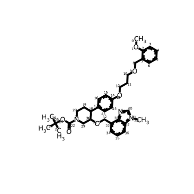 COc1ccccc1COCCCOc1ccc(C2CCN(C(=O)OC(C)(C)C)CC2OCc2cccc3c2ncn3C)cc1